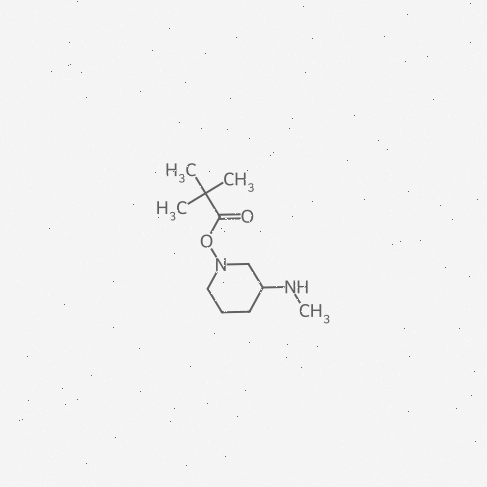 CNC1CCCN(OC(=O)C(C)(C)C)C1